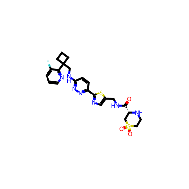 O=C(NCc1cnc(-c2ccc(NCC3(c4ncccc4F)CCC3)nn2)s1)[C@H]1CS(=O)(=O)CCN1